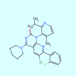 Cc1ccnc(C(C)C)c1-n1c(=O)nc(N2CCCCC2)c2cc(Cl)c(-c3ccccc3F)nc21